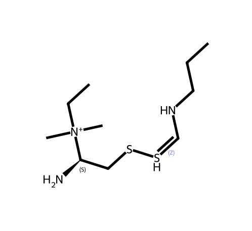 CCCN/C=[SH]\SC[C@@H](N)[N+](C)(C)CC